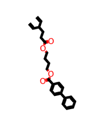 C=CC(C=C)CCC(=O)OCCCCOC(=O)c1ccc(-c2ccccc2)cc1